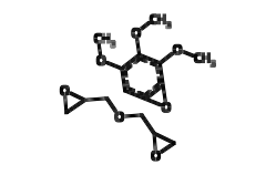 C(OCC1CO1)C1CO1.COc1cc2c(c(OC)c1OC)O2